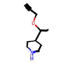 C#CCOC(C)C1CCNCC1